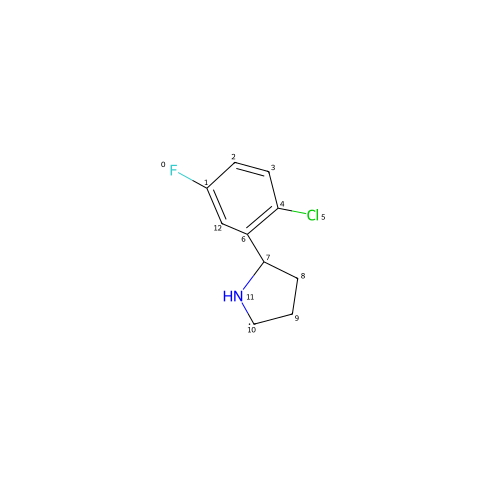 Fc1ccc(Cl)c(C2CC[CH]N2)c1